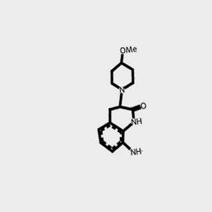 COC1CCN(C2Cc3cccc([NH])c3NC2=O)CC1